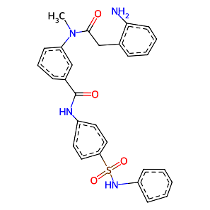 CN(C(=O)Cc1ccccc1N)c1cccc(C(=O)Nc2ccc(S(=O)(=O)Nc3ccccc3)cc2)c1